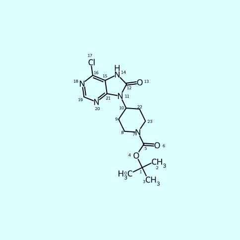 CC(C)(C)OC(=O)N1CCC(n2c(=O)[nH]c3c(Cl)ncnc32)CC1